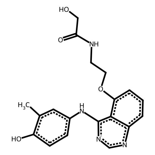 Cc1cc(Nc2ncnc3cccc(OCCNC(=O)CO)c23)ccc1O